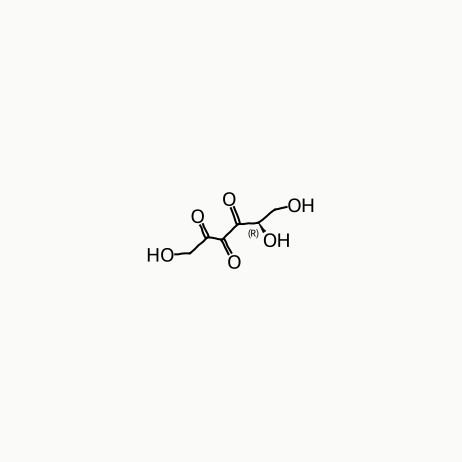 O=C(CO)C(=O)C(=O)[C@H](O)CO